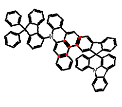 c1ccc(-c2cccc(-c3ccccc3N(c3cccc(-c4ccc5c(c4)C4(c6ccccc6-5)c5ccccc5-n5c6ccccc6c6cccc4c65)c3)c3cccc4c3-c3ccccc3C4(c3ccccc3)c3ccccc3)c2)cc1